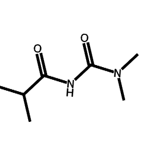 CC(C)C(=O)NC(=O)N(C)C